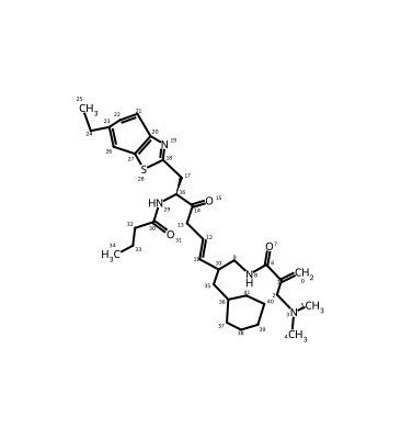 C=C(CN(C)C)C(=O)NCC(/C=C/CC(=O)[C@H](Cc1nc2ccc(CC)cc2s1)NC(=O)CCC)CC1CCCCC1